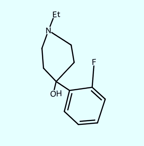 CCN1CCC(O)(c2ccccc2F)CC1